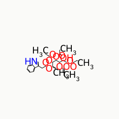 C/C=C(\OC(=O)Cc1c[nH]c2ccccc12)[C@H](OC(=O)CC)[C@@H](OC(=O)CC)[C@H](OC(=O)CC)[C@H](O)COC(=O)CC